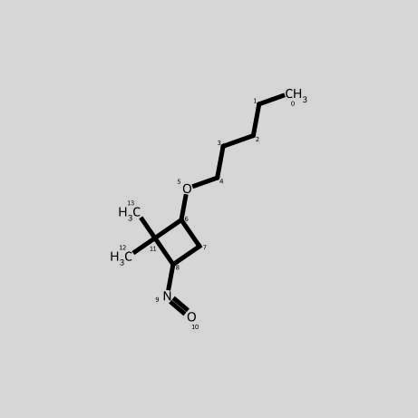 CCCCCOC1CC(N=O)C1(C)C